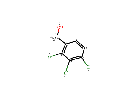 O[SiH2]c1ccc(Cl)c(Cl)c1Cl